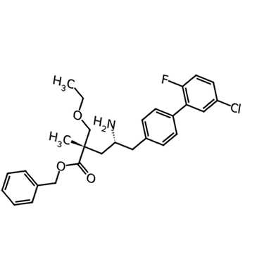 CCOC[C@](C)(C[C@H](N)Cc1ccc(-c2cc(Cl)ccc2F)cc1)C(=O)OCc1ccccc1